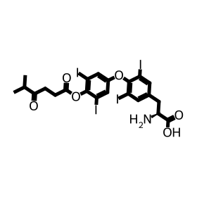 CC(C)C(=O)CCC(=O)Oc1c(I)cc(Oc2c(I)cc(C[C@H](N)C(=O)O)cc2I)cc1I